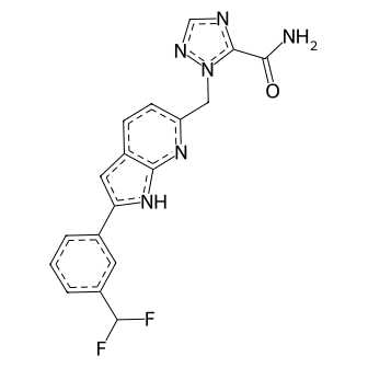 NC(=O)c1ncnn1Cc1ccc2cc(-c3cccc(C(F)F)c3)[nH]c2n1